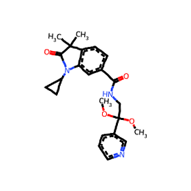 COC(CNC(=O)c1ccc2c(c1)N(C1CC1)C(=O)C2(C)C)(OC)c1cccnc1